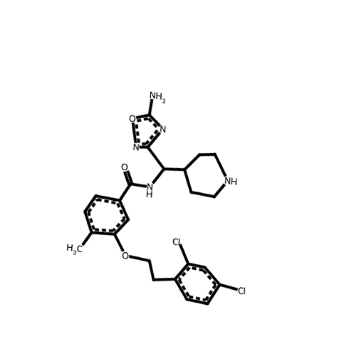 Cc1ccc(C(=O)NC(c2noc(N)n2)C2CCNCC2)cc1OCCc1ccc(Cl)cc1Cl